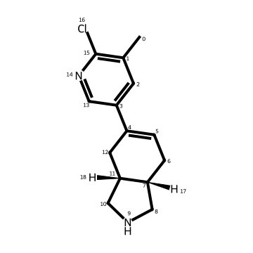 Cc1cc(C2=CC[C@@H]3CNC[C@@H]3C2)cnc1Cl